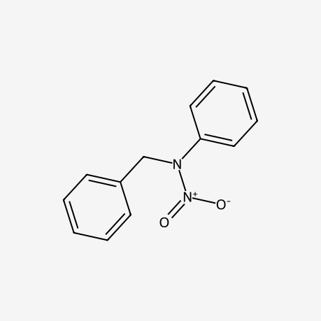 O=[N+]([O-])N(Cc1ccccc1)c1ccccc1